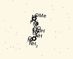 COc1cc(-n2ccc(N3CCO[C@H]([C@@](C)(O)C(=O)Nc4ccc5c(N)noc5c4)C3=O)n2)c(F)cn1